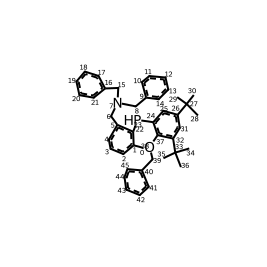 Cc1cccc(CN(Cc2ccccc2)Cc2ccccc2)c1Pc1cc(C(C)(C)C)cc(C(C)(C)C)c1OCc1ccccc1